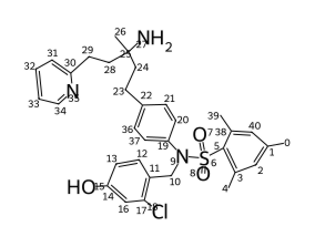 Cc1cc(C)c(S(=O)(=O)N(Cc2ccc(O)cc2Cl)c2ccc(CCC(C)(N)CCc3ccccn3)cc2)c(C)c1